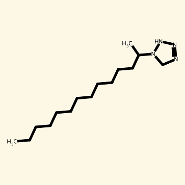 CCCCCCCCCCCCC(C)N1CN=NN1